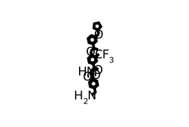 CC(Oc1ccc(C(=O)NS(=O)(=O)c2ccc(CN)cc2)cc1C(F)(F)F)c1cccc(OC2CCCC2)c1